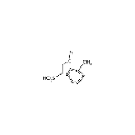 CC(C)OCCS(=O)(=O)O.Cc1ccccc1